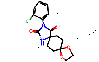 O=C1NC2(CCC3(CC2)OCCO3)C(=O)N1c1ccccc1Cl